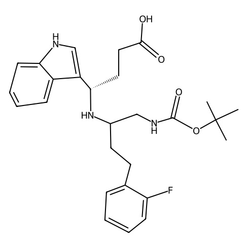 CC(C)(C)OC(=O)NCC(CCc1ccccc1F)N[C@@H](CCC(=O)O)c1c[nH]c2ccccc12